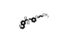 C=CCCOc1cccc(CNC(=O)c2ccc3ncccc3c2)c1